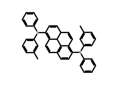 Cc1cccc(N(C2=C3C=Cc4ccc(N(c5ccccc5)c5cccc(C)c5)c5c4C3C(C=C2)C=C5)c2ccccc2)c1